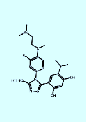 CC(C)c1cc(-c2nnc(O)n2-c2ccc(N(C)CCN(C)C)c(F)c2)c(O)cc1O.Cl